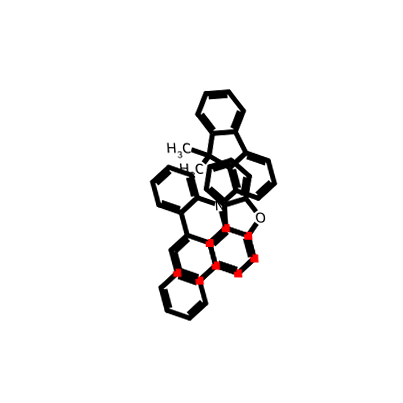 CC1(C)c2ccccc2-c2cccc(N(C3=CC(c4ccccc4)=CCC3)c3ccccc3C3=C=C=Cc4ccc5oc6ccccc6c5c43)c21